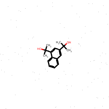 CC(C)(O)c1cc(C(C)(C)O)c2ccccc2c1